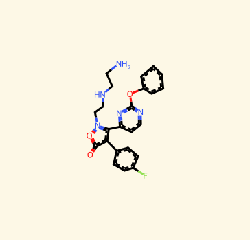 NCCNCCn1oc(=O)c(-c2ccc(F)cc2)c1-c1ccnc(Oc2ccccc2)n1